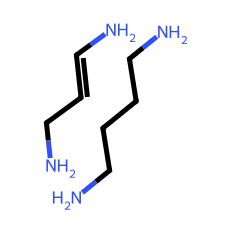 NC=CCN.NCCCCN